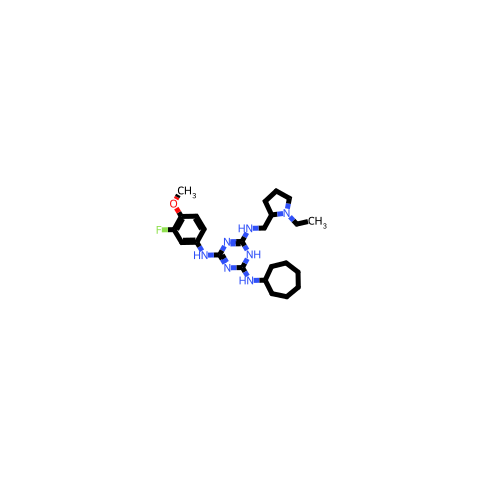 CCN1CCCC1CNC1=NC(Nc2ccc(OC)c(F)c2)=NC(NC2CCCCCC2)N1